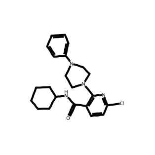 O=C(NC1CCCCC1)c1ccc(Cl)nc1N1CCN(c2ccccc2)CC1